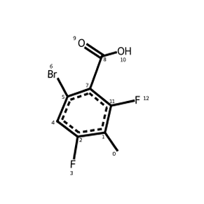 Cc1c(F)cc(Br)c(C(=O)O)c1F